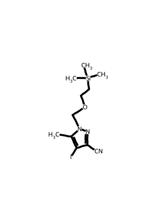 Cc1c(I)c(C#N)nn1COCC[Si](C)(C)C